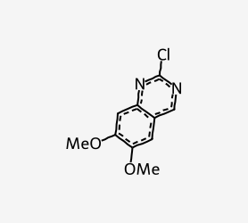 COc1cc2cnc(Cl)nc2cc1OC